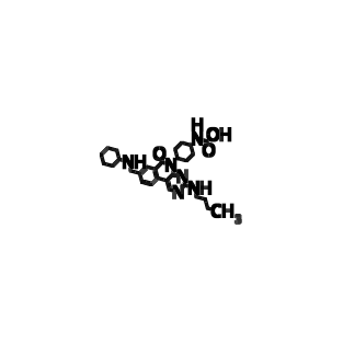 CCCCNc1ncc2c3ccc(CNC4CCCCC4)cc3c(=O)n([C@H]3CC[C@H](NC(=O)O)CC3)c2n1